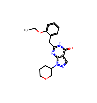 CCOC1=C=C=CC=C1Cc1nc2c(cnn2C2CCCOC2)c(=O)[nH]1